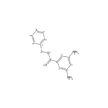 Nc1cc(N)cc(C(=O)OCc2ccccc2)c1